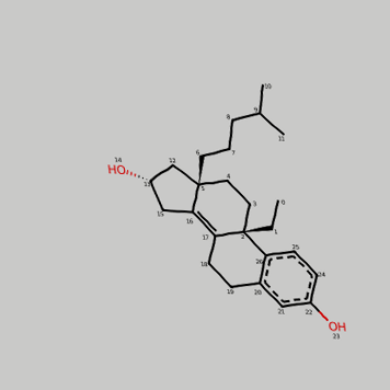 CC[C@]12CC[C@@]3(CCCC(C)C)C[C@@H](O)CC3=C1CCc1cc(O)ccc12